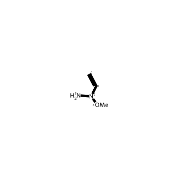 C=CN(N)OC